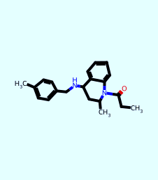 CCC(=O)N1c2ccccc2C(NCc2ccc(C)cc2)CC1C